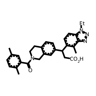 CCn1nnc2c(C)c(C(CC(=O)O)c3ccc4c(c3)CN(C(=O)c3cc(C)ccc3C)CC4)ccc21